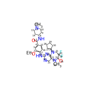 CCOc1cc(C(=O)NC2CCN(C)CC2)ccc1Nc1ncc2c(n1)N(C1CCCC1)CC(F)(F)C(=O)N2C